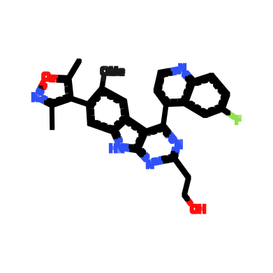 COc1cc2c(cc1-c1c(C)noc1C)[nH]c1nc(CCO)nc(-c3ccnc4ccc(F)cc34)c12